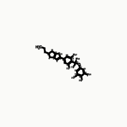 CCCC1Cc2cc(-c3cc(F)c(C(F)(F)Oc4cc(F)c(F)c(F)c4)c(F)c3)sc2C1